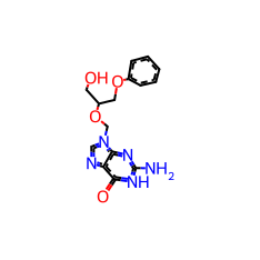 Nc1nc2c(ncn2COC(CO)COc2ccccc2)c(=O)[nH]1